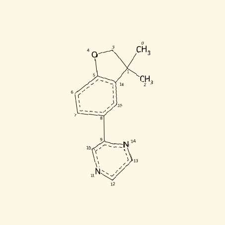 CC1(C)COc2ccc(-c3[c]nccn3)cc21